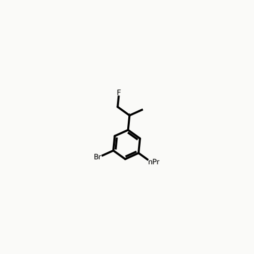 CCCc1cc(Br)cc([C](C)CF)c1